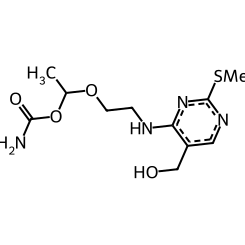 CSc1ncc(CO)c(NCCOC(C)OC(N)=O)n1